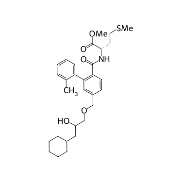 COC(=O)[C@H](CCSC)NC(=O)c1ccc(COCC(O)CC2CCCCC2)cc1-c1ccccc1C